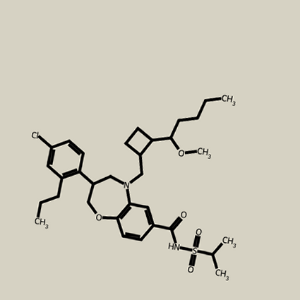 CCCCC(OC)C1CCC1CN1CC(c2ccc(Cl)cc2CCC)COc2ccc(C(=O)NS(=O)(=O)C(C)C)cc21